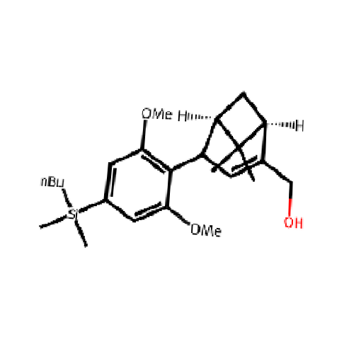 CCCC[Si](C)(C)c1cc(OC)c(C2C=C(CO)[C@@H]3C[C@H]2C3(C)C)c(OC)c1